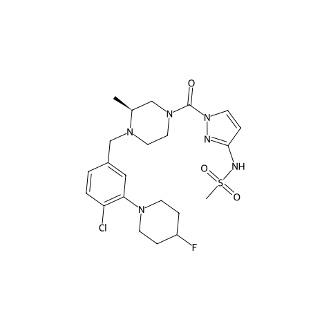 C[C@H]1CN(C(=O)n2ccc(NS(C)(=O)=O)n2)CCN1Cc1ccc(Cl)c(N2CCC(F)CC2)c1